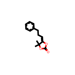 CC1(C)OC(=O)OC1=CCCc1ccccc1